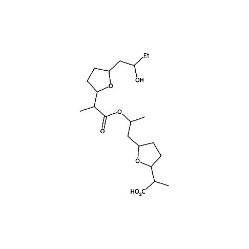 CCC(O)CC1CCC(C(C)C(=O)OC(C)CC2CCC(C(C)C(=O)O)O2)O1